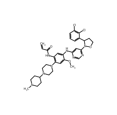 C=CC(=O)Nc1cc(Nc2cc(N3OCCC3c3cccc(Cl)c3Cl)ncn2)c(OC)cc1N1CCN(C2CCN(C)CC2)CC1